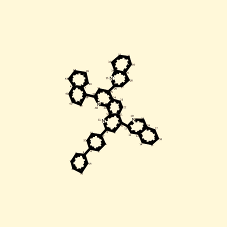 c1ccc(-c2ccc(-c3cc(-c4cc5ccccc5cn4)c4ccc5c(-c6ccc7ccccc7n6)cc(-c6cccc7ccccc67)nc5c4n3)cc2)cc1